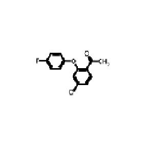 CC(=O)c1ccc(Cl)cc1Oc1ccc(F)cc1